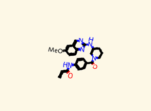 C=CC(=O)Nc1ccc(C(=O)N2CCCC(Nc3ncc4cc(OC)ccc4n3)C2)cc1